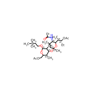 CCC(=O)N[C@H]1C([C@H](C)[C@@H](CC)OC(C)=O)O[C@](C)(O[C@@H]2C(C)[C@H](OCC[Si](C)(C)C)OC(COC(C)=O)[C@@H]2C)C[C@H]1C